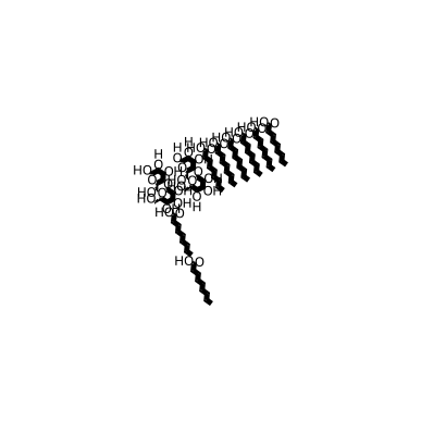 CCCCCCCCC(=O)O.CCCCCCCCC(=O)O.CCCCCCCCC(=O)O.CCCCCCCCC(=O)O.CCCCCCCCC(=O)O.CCCCCCCCC(=O)O.CCCCCCCCC(=O)O.CCCCCCCCC(=O)O.OC[C@H]1O[C@@H](O[C@H]2[C@H](O)[C@@H](O)[C@H](O)O[C@@H]2CO)[C@H](O)[C@@H](O)[C@@H]1O.OC[C@H]1O[C@@H](O[C@H]2[C@H](O)[C@@H](O)[C@H](O)O[C@@H]2CO)[C@H](O)[C@@H](O)[C@@H]1O